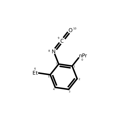 CCCc1cccc(CC)c1N=C=O